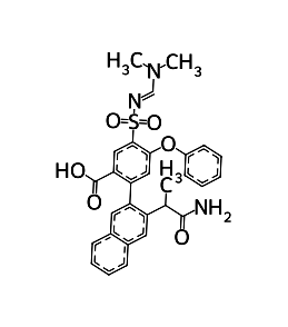 CC(C(N)=O)c1cc2ccccc2cc1-c1cc(Oc2ccccc2)c(S(=O)(=O)N=CN(C)C)cc1C(=O)O